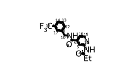 CCC(=O)Nc1cc(C(=O)NCc2cccc(C(F)(F)F)c2)ccn1